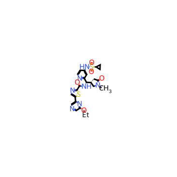 CCOc1cncc(-c2cnc(C(=O)N[C@H](c3cc(NS(=O)(=O)C4CC4)ccn3)[C@@H]3CC(=O)N(C)C3)s2)n1